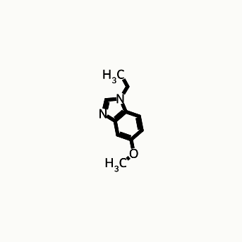 CCn1cnc2cc(OC)ccc21